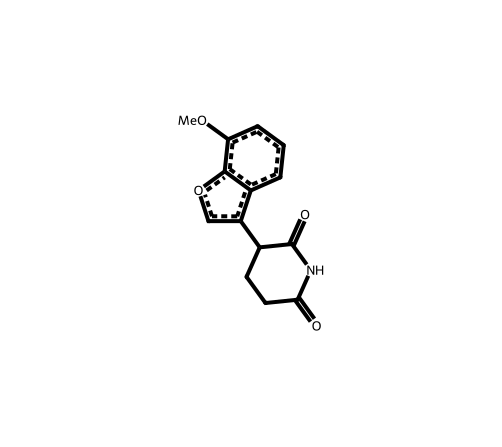 COc1cccc2c(C3CCC(=O)NC3=O)coc12